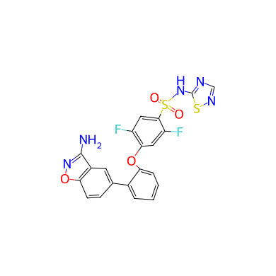 Nc1noc2ccc(-c3ccccc3Oc3cc(F)c(S(=O)(=O)Nc4ncns4)cc3F)cc12